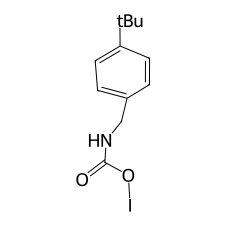 CC(C)(C)c1ccc(CNC(=O)OI)cc1